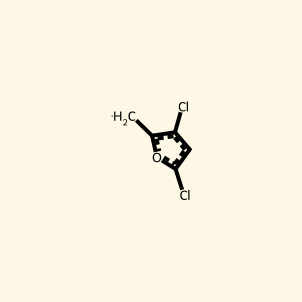 [CH2]c1oc(Cl)cc1Cl